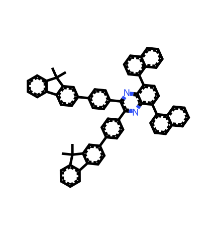 CC1(C)c2ccccc2-c2ccc(-c3ccc(-c4nc5c(-c6cccc7ccccc67)ccc(-c6cccc7ccccc67)c5nc4-c4ccc(-c5ccc6c(c5)C(C)(C)c5ccccc5-6)cc4)cc3)cc21